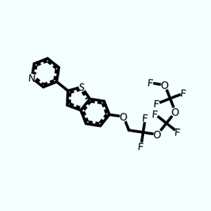 FOC(F)(F)OC(F)(F)OC(F)(F)COc1ccc2cc(-c3cccnc3)sc2c1